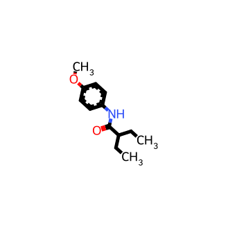 CCC(CC)C(=O)Nc1ccc(OC)cc1